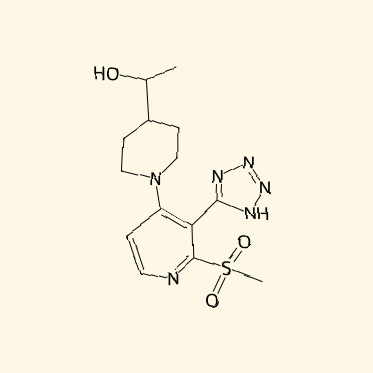 CC(O)C1CCN(c2ccnc(S(C)(=O)=O)c2-c2nnn[nH]2)CC1